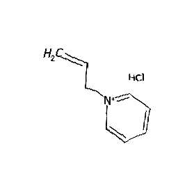 C=CC[n+]1ccccc1.Cl